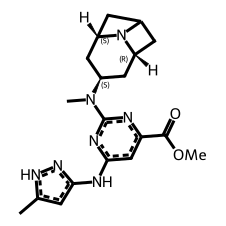 COC(=O)c1cc(Nc2cc(C)[nH]n2)nc(N(C)[C@@H]2C[C@H]3CC4C[C@@H](C2)N43)n1